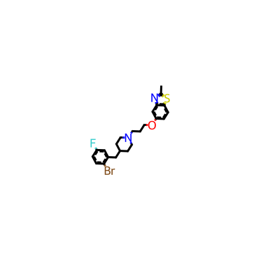 Cc1nc2cc(OCCCN3CCC(Cc4cc(F)ccc4Br)CC3)ccc2s1